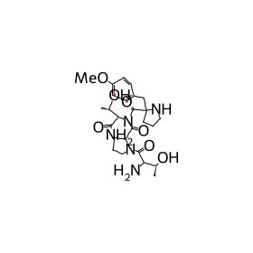 COc1ccc(CC2(C(=O)N(C(=O)C3CCCN3C(=O)C(N)[C@H](C)O)C(C(N)=O)[C@@H](C)O)CCCN2)cc1